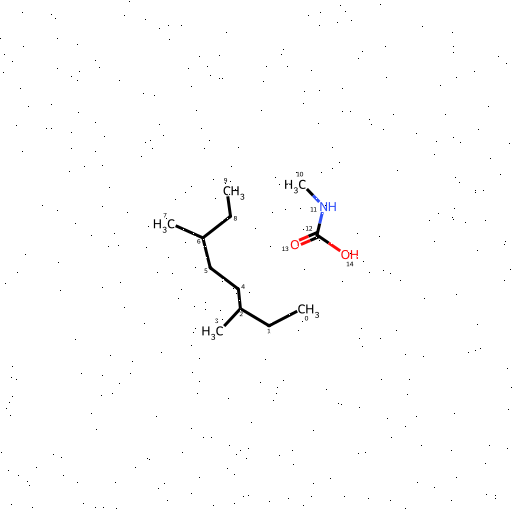 CCC(C)CCC(C)CC.CNC(=O)O